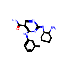 Cc1cccc(Nc2nc(NC3CCCCC3N)ncc2C(N)=O)c1